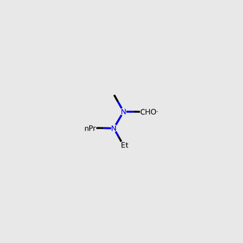 CCCN(CC)N(C)[C]=O